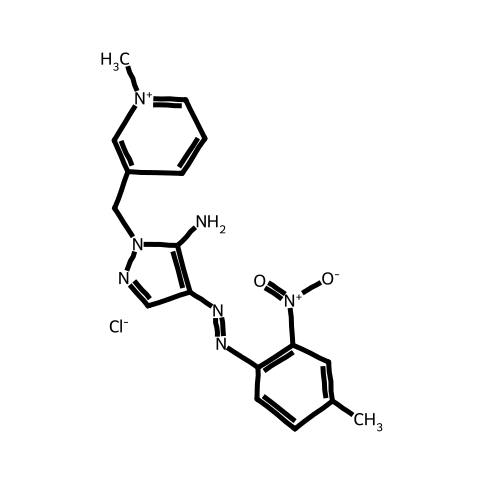 Cc1ccc(/N=N/c2cnn(Cc3ccc[n+](C)c3)c2N)c([N+](=O)[O-])c1.[Cl-]